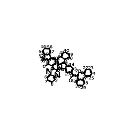 Cc1c(-c2nc3ccccc3nc2-n2c3cc(C(C)C4Cc5ccccc5-c5ccccc54)ccc3c3c4ccccc4ccc32)ccc2c1C(C)(C)c1ccccc1-2